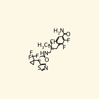 CN(C)[C@H](CNC(=O)C[C@H](c1cncs1)C1(C(F)(F)F)CC1)Cc1ccc(C(N)=O)c(F)c1F